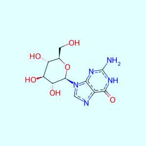 Nc1nc2c(ncn2[C@@H]2O[C@H](CO)[C@@H](O)[C@H](O)[C@H]2O)c(=O)[nH]1